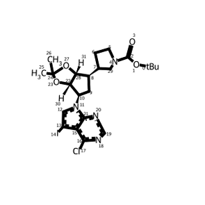 CC(C)(C)OC(=O)N1CCC([C@H]2C[C@@H](n3cc(I)c4c(Cl)ncnc43)[C@@H]3OC(C)(C)O[C@@H]32)C1